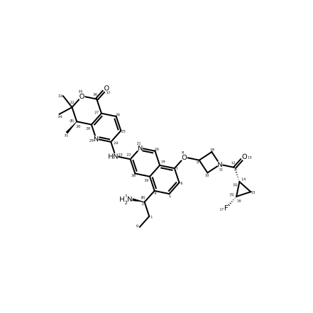 CC[C@@H](N)c1ccc(OC2CN(C(=O)[C@@H]3C[C@@H]3F)C2)c2cnc(Nc3ccc4c(n3)[C@@H](C)C(C)(C)OC4=O)cc12